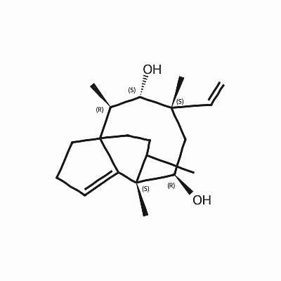 C=C[C@]1(C)C[C@@H](O)[C@]2(C)C3=CCCC3(CCC2C)[C@@H](C)[C@@H]1O